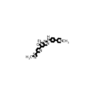 CCn1c(=O)c(-c2ccc(-c3cnc(C)s3)cn2)cc2cnc(Nc3ccc(C4CCN(C)CC4)cc3)nc21